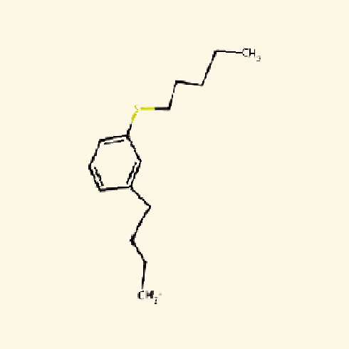 [CH2]CCCc1cccc(SCCCCC)c1